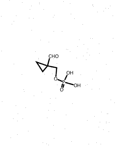 O=CC1(COP(=O)(O)O)CC1